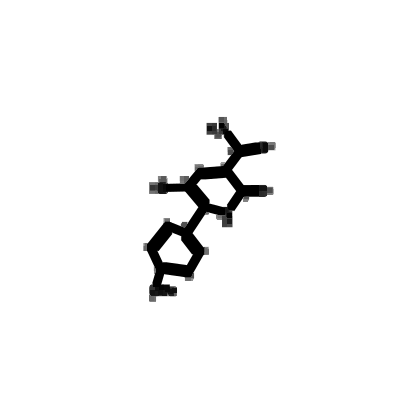 COc1ccc(-c2[nH]c(=O)c(C(N)=O)cc2O)cc1